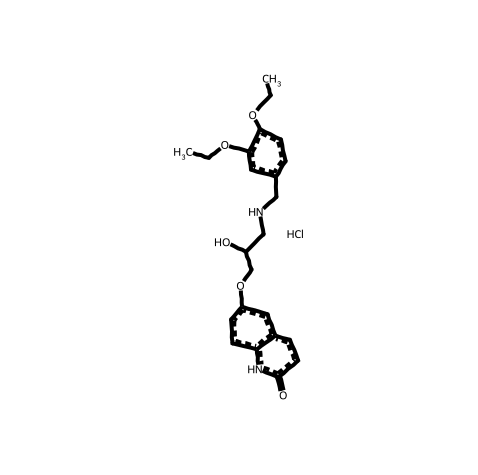 CCOc1ccc(CNCC(O)COc2ccc3[nH]c(=O)ccc3c2)cc1OCC.Cl